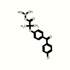 CC(C)(Oc1ccc(C(=O)c2ccc(Cl)cc2)cc1)C(=O)ON(O)O